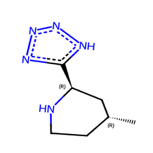 C[C@@H]1CCN[C@@H](c2nnn[nH]2)C1